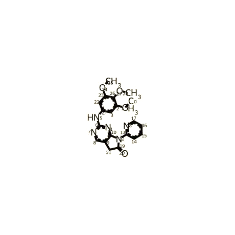 COc1cc(Nc2ncc3c(n2)N(c2ccccn2)C(=O)C3)cc(OC)c1OC